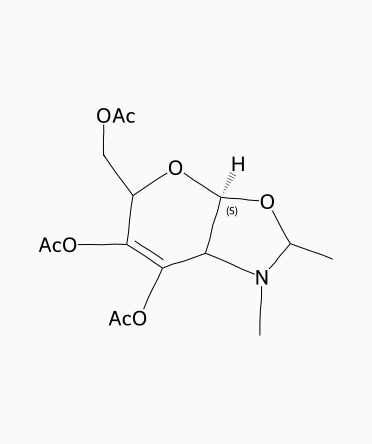 CC(=O)OCC1O[C@H]2OC(C)N(C)C2C(OC(C)=O)=C1OC(C)=O